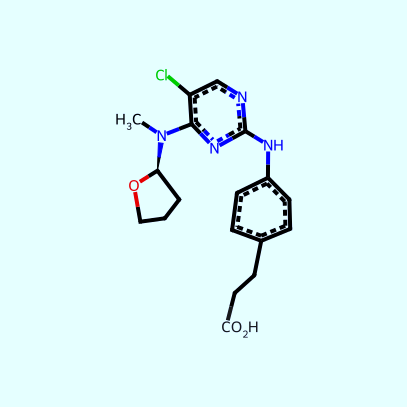 CN(c1nc(Nc2ccc(CCC(=O)O)cc2)ncc1Cl)[C@H]1CCCO1